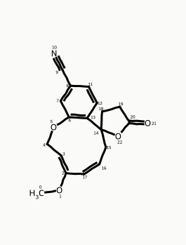 COC1=C\COc2cc(C#N)ccc2C2(C/C=C\1)CCC(=O)O2